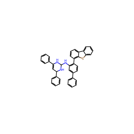 C1=C(c2ccccc2)NC(Nc2cc(-c3ccccc3)ccc2-c2cccc3c2sc2ccccc23)NC1c1ccccc1